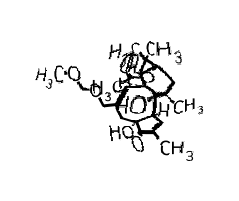 COCOCC1=C[C@H]2[C@H]3C(C)(C)[C@]3(OC(C)=O)C[C@@H](C)[C@]2(O)[C@@H]2C=C(C)C(=O)[C@@]2(O)C1